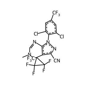 CN(C)/C=N\c1c(C2(C(F)(F)F)C(F)(F)C2(F)F)c(C#N)nn1-c1c(Cl)cc(C(F)(F)F)cc1Cl